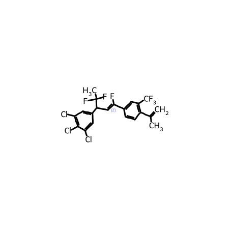 C=C(C)c1ccc(/C(F)=C/C(c2cc(Cl)c(Cl)c(Cl)c2)C(C)(F)F)cc1C(F)(F)F